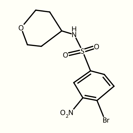 O=[N+]([O-])c1cc(S(=O)(=O)NC2CCOCC2)ccc1Br